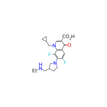 CCNCC1CCN(c2c(F)cc3c(=O)c(C(=O)O)cn(CC4CC4)c3c2F)C1